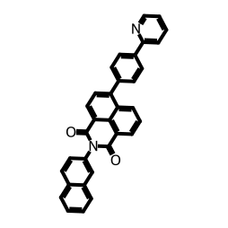 O=C1c2cccc3c(-c4ccc(-c5ccccn5)cc4)ccc(c23)C(=O)N1c1ccc2ccccc2c1